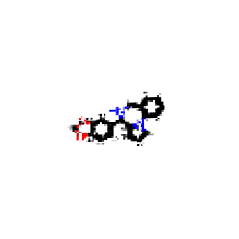 c1ccc2c(c1)CNC(c1ccc3c(c1)OCO3)c1cccn1-2